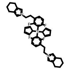 Fc1ccc(CCn2cc3c(c2)CCCC3)c(F)[c]1[Ti]([c]1c(F)ccc(CCn2cc3c(c2)CCCC3)c1F)([CH]1C=CC=C1)[CH]1C=CC=C1